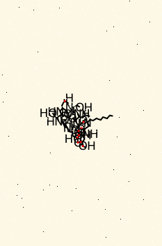 CCCCCCCCNCC(=O)N[C@@H](CO)C(=O)N[C@@H](CC(C)C)C(=O)N[C@@H](CO)C(=O)N[C@@H](CC(C)C)C(=O)N[C@@H](CC(=O)O)C(=O)N(CCCCCCCC)CC(=O)N[C@@H](CC(=O)O)C(=O)O